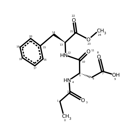 CCC(=O)N[C@@H](CC(=O)O)C(=O)N[C@@H](Cc1ccccc1)C(=O)OC